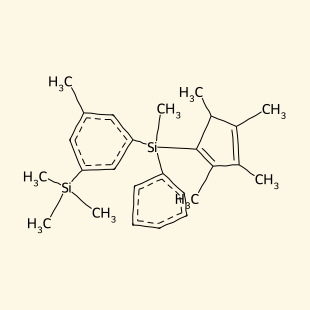 CC1=C(C)C(C)C([Si](C)(c2ccccc2)c2cc(C)cc([Si](C)(C)C)c2)=C1C